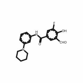 O=Cc1cc(C(=O)Nc2cccc(N3CCCCC3)c2)cc(F)c1O